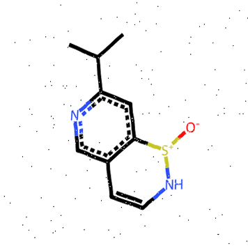 CC(C)c1cc2c(cn1)C=CN[S+]2[O-]